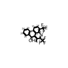 Cc1c(C(F)(F)F)nc2c(C(F)(F)F)cccc2c1C(O)c1ccccc1